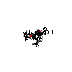 O=C(O)c1ccc(-c2noc(N3[C@@H]4CC[C@H]3CC(OCc3c(-c5c(Cl)cccc5Cl)noc3C3CC3)C4)n2)cn1